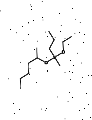 CCCCC(C)O[Si](C)(CCC)OCC